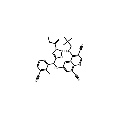 C=C(CC)N1C=C([C@@H](Nc2cc(C#N)c3ncc(C#N)c(NCC(C)(C)C)c3c2)c2cccc(C#N)c2C)NN1